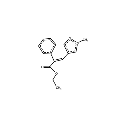 CCOC(=O)/C(=C/c1cnn(C)c1)c1ccccc1